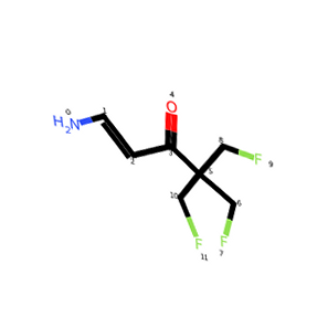 N/C=C/C(=O)C(CF)(CF)CF